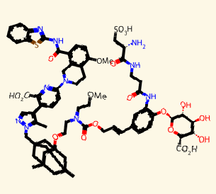 COCCN(CCOC12CC3(C)CC(C)(CC(Cn4ncc(-c5ccc(N6CCc7c(OC)ccc(C(=O)Nc8nc9ccccc9s8)c7C6)nc5C(=O)O)c4C)(C3)C1)C2)C(=O)OCC=Cc1ccc(O[C@@H]2O[C@H](C(=O)O)[C@@H](O)[C@H](O)[C@H]2O)c(NC(=O)CCNC(=O)[C@@H](N)CS(=O)(=O)O)c1